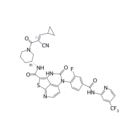 N#C/C(=C\C1CC1)C(=O)N1CCC[C@@H](NC(=O)c2sc3nccc4c3c2NC(=O)N4c2ccc(C(=O)Nc3cc(C(F)(F)F)ccn3)cc2F)C1